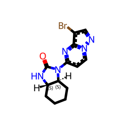 O=C1N[C@H]2CCCC[C@@H]2N1c1ccn2ncc(Br)c2n1